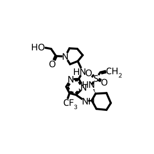 C=CS(=O)(=O)N[C@@H]1CCCC[C@H]1Nc1nc(NC2CCCN(C(=O)CO)C2)ncc1C(F)(F)F